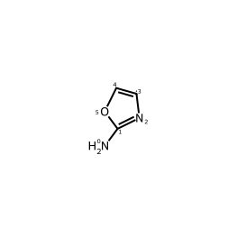 Nc1n[c]co1